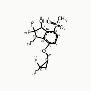 CS(=O)(=O)c1ccc(OC[C@H]2CC2(F)F)c2c1[C@H](O)C(F)(F)[C@@H]2F